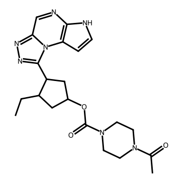 CCC1CC(OC(=O)N2CCN(C(C)=O)CC2)CC1c1nnc2cnc3[nH]ccc3n12